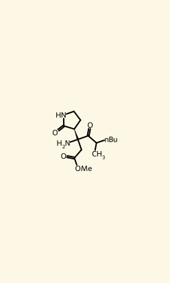 CCCCC(C)C(=O)C(N)(CC(=O)OC)[C@@H]1CCNC1=O